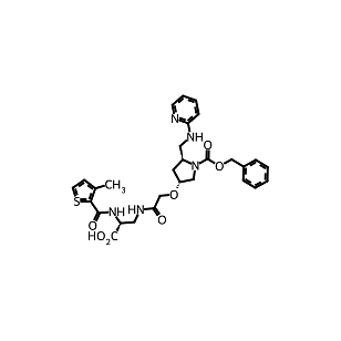 Cc1ccsc1C(=O)N[C@@H](CNC(=O)CO[C@@H]1C[C@@H](CNc2ccccn2)N(C(=O)OCc2ccccc2)C1)C(=O)O